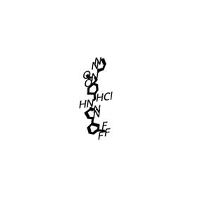 Cl.O=C1OC2(CCC(CNc3ccc(-c4cccc(C(F)(F)F)c4)nn3)CC2)CN1c1cccnn1